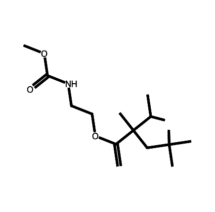 C=C(OCCNC(=O)OC)C(C)(CC(C)(C)C)C(C)C